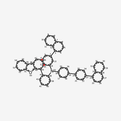 c1cc(-c2cccc3ccccc23)cc(N(c2ccc(-c3ccc(-c4cccc5ccccc45)cc3)cc2)c2ccccc2-c2cccc3c2oc2ccccc23)c1